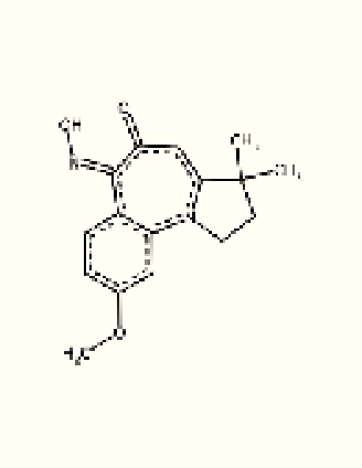 COc1ccc2c(=NO)c(=O)cc3n(c2c1)CCC3(C)C